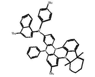 CC(C)(C)c1ccc(N(c2ccc3c(c2)N(c2ccccc2)c2cc(C(C)(C)C)cc4c2B3c2cccc3c2N4C2(C)CCCCC32C)c2ccc(C(C)(C)C)c3ccccc23)cc1